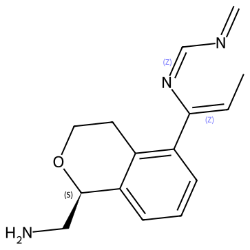 C=N/C=N\C(=C/C)c1cccc2c1CCO[C@@H]2CN